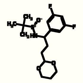 CC(C)(C)[S@@+]([O-])NC(CCC1OCCCO1)c1cc(F)cc(F)c1